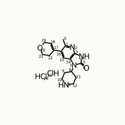 Cc1nc2[nH]c(=O)n(C3CCNCC3)c2cc1C1=CCOCC1.Cl.Cl